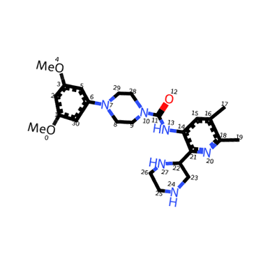 COc1cc(OC)cc(N2CCN(C(=O)Nc3cc(C)c(C)nc3C3CNCCN3)CC2)c1